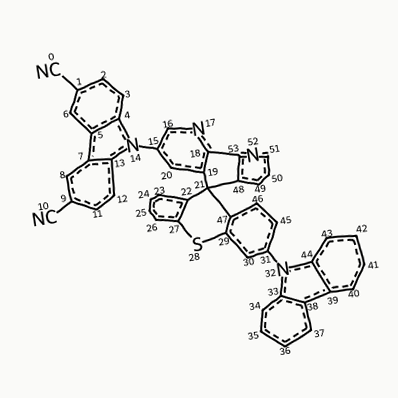 N#Cc1ccc2c(c1)c1cc(C#N)ccc1n2-c1cnc2c(c1)C1(c3ccccc3Sc3cc(-n4c5ccccc5c5ccccc54)ccc31)c1cccnc1-2